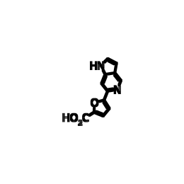 O=C(O)c1ccc(-c2cc3[nH]ccc3cn2)o1